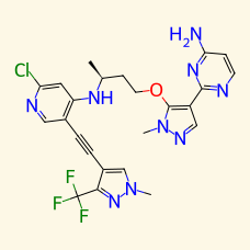 C[C@@H](CCOc1c(-c2nccc(N)n2)cnn1C)Nc1cc(Cl)ncc1C#Cc1cn(C)nc1C(F)(F)F